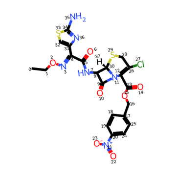 CCON=C(C(=O)NC1C(=O)N2C(C(=O)OCc3ccc([N+](=O)[O-])cc3)=C(Cl)CS[C@@H]12)c1csc(N)n1